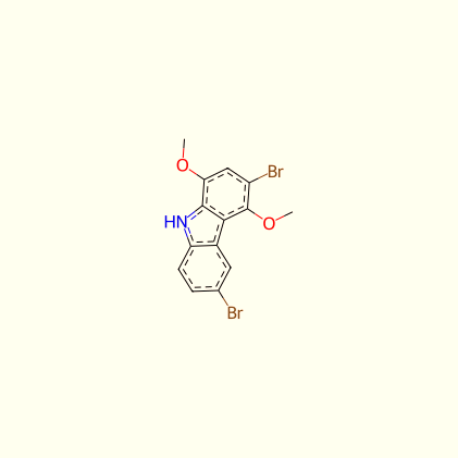 COc1cc(Br)c(OC)c2c1[nH]c1ccc(Br)cc12